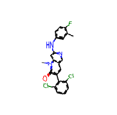 Cc1cc(Nc2cc3c(cn2)cc(-c2c(Cl)cccc2Cl)c(=O)n3C)ccc1F